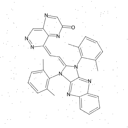 Cc1cccc(C)c1N1C(=C/C=c2/nncc3c2=NC(=O)C=N3)N(c2c(C)cccc2C)c2nc3ccccc3nc21